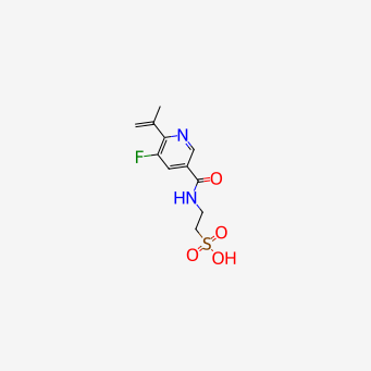 C=C(C)c1ncc(C(=O)NCCS(=O)(=O)O)cc1F